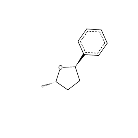 C[C@H]1CC[C@H](c2ccccc2)O1